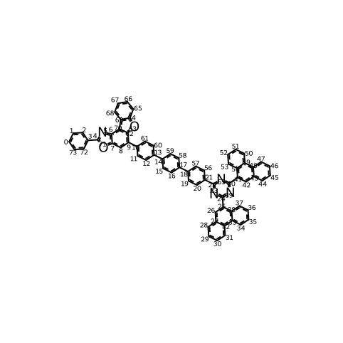 c1ccc(-c2nc3c(cc(-c4ccc(-c5ccc(-c6ccc(-c7nc(-c8cc9ccccc9c9ccccc89)nc(-c8cc9ccccc9c9ccccc89)n7)cc6)cc5)cc4)c4oc5ccccc5c43)o2)cc1